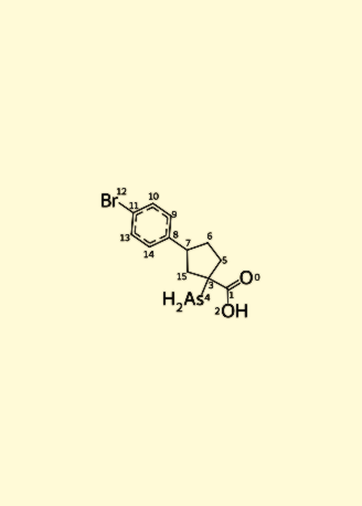 O=C(O)C1([AsH2])CCC(c2ccc(Br)cc2)C1